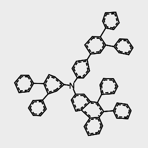 c1ccc(-c2ccc(-c3ccc(N(c4ccc(-c5ccccc5)c(-c5ccccc5)c4)c4ccc5c(c4)c(-c4ccccc4)c(-c4ccccc4)c4ccccc45)cc3)cc2-c2ccccc2)cc1